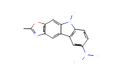 Cc1nc2cc3c4cc(N(C)C)ccc4n(C)c3cc2o1